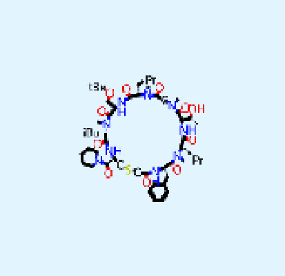 CC[C@H](C)[C@H]1C(=O)N[C@H](C(=O)N2CCCCC2)CSCC(=O)N[C@@H](Cc2ccccc2)C(=O)N(C)[C@@H](CC(C)C)C(=O)N[C@@H]([C@@H](C)O)C(=O)N(C)CC(=O)N(C)[C@@H](CC(C)C)C(=O)NC(COC(C)(C)C)C(=O)N1C